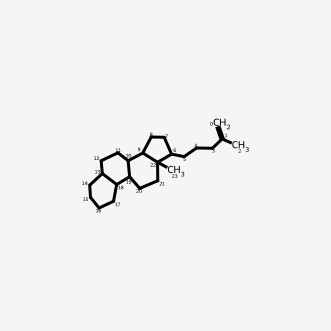 C=C(C)CCCC1CCC2C3CCC4CCCCC4C3CCC12C